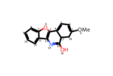 COC1=CC=C2c3oc4ccccc4c3N=C(O)C2C1